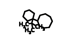 CC(C)(C)C1(C2CCCCCCC2)CCCCC1